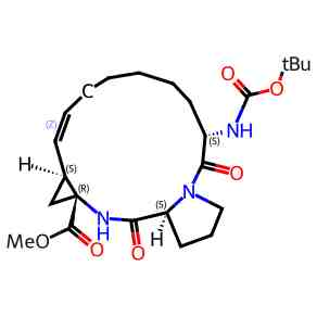 COC(=O)[C@@]12C[C@H]1/C=C\CCCCC[C@H](NC(=O)OC(C)(C)C)C(=O)N1CCC[C@H]1C(=O)N2